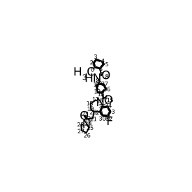 Cc1ccccc1C(=O)Nc1ccc(C(=O)N2CCCC(CC(=O)N3CCCC3)c3cc(F)ccc32)cc1